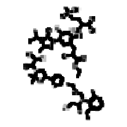 CC1(C)OC(c2ccco2)CN1C(=O)C(Cl)Cl.CCOC(=O)C(Cl)Cc1cc(-n2nc(C)n(C(F)F)c2=O)c(F)cc1Cl.CCOCN(C(=O)CCl)c1c(C)cccc1CC.CP(=O)(O)CCC(N)C(=O)O